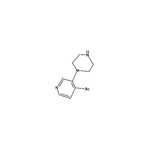 CC(=O)c1ccn[c]c1N1CCNCC1